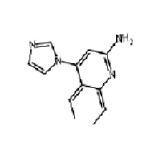 C/C=c1/c(-n2ccnc2)cc(N)n/c1=C/C